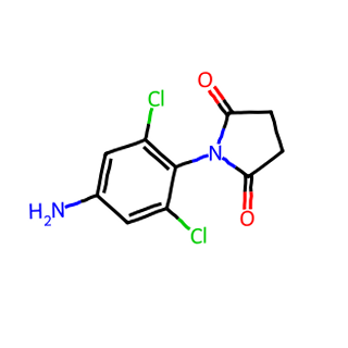 Nc1cc(Cl)c(N2C(=O)CCC2=O)c(Cl)c1